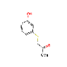 COC(=O)CSc1cccc(O)c1